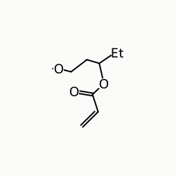 [CH2]CC(CC[O])OC(=O)C=C